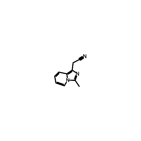 Cc1nc(CC#N)c2ccccn12